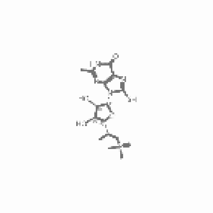 C=P(C)(C)CC(C)[C@H]1O[C@@H](n2c(S)nc3c(=O)[nH]c(C)nc32)[C@H](O)[C@@H]1O